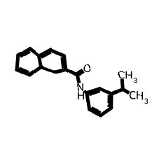 CC(C)c1cccc(NC(=O)C2=CC=C3C=CC=CC3C2)c1